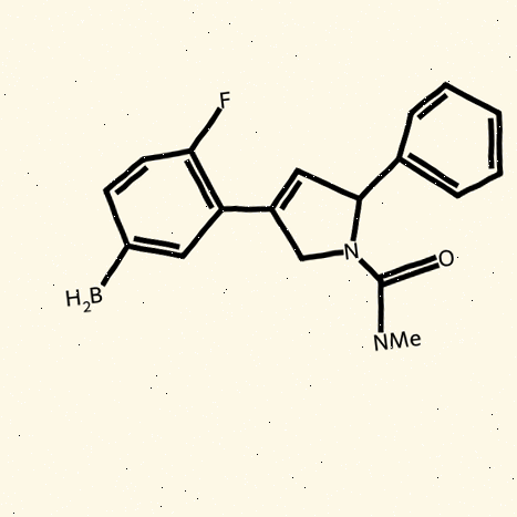 Bc1ccc(F)c(C2=CC(c3ccccc3)N(C(=O)NC)C2)c1